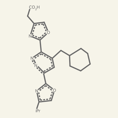 CC(C)c1coc(-c2cc(CC3CCCCC3)c(-c3nc(CC(=O)O)co3)nn2)n1